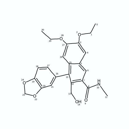 CCOc1cc2cc(C(=O)NC)c(CO)c(-c3ccc4c(c3)OCO4)c2cc1OCC